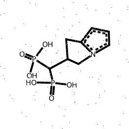 O=P(O)(O)C(C1Cc2cccn2C1)P(=O)(O)O